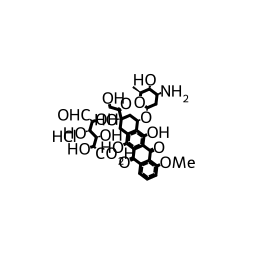 COc1cccc2c1C(=O)c1c(O)c3c(c(O)c1C2=O)C[C@@](O)(C(=O)CO)C[C@@H]3O[C@H]1C[C@H](N)[C@H](O)[C@H](C)O1.Cl.O=C[C@H](O)[C@@H](O)[C@H](O)[C@H](O)C(=O)O